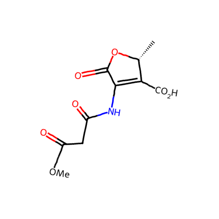 COC(=O)CC(=O)NC1=C(C(=O)O)[C@@H](C)OC1=O